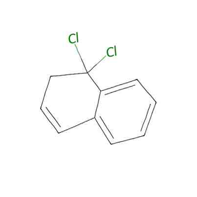 ClC1(Cl)CC=Cc2ccccc21